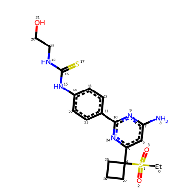 CCS(=O)(=O)C1(c2cc(N)nc(-c3ccc(NC(=S)NCCO)cc3)n2)CCC1